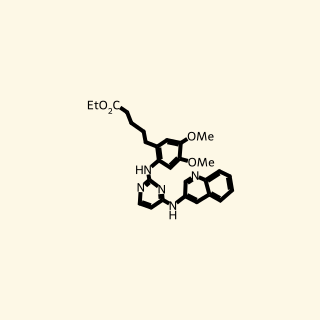 CCOC(=O)CCCCc1cc(OC)c(OC)cc1Nc1nccc(Nc2cnc3ccccc3c2)n1